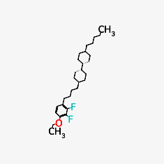 CCCCC[C@H]1CC[C@H]([C@H]2CC[C@H](CCCCc3ccc(OCC)c(F)c3F)CC2)CC1